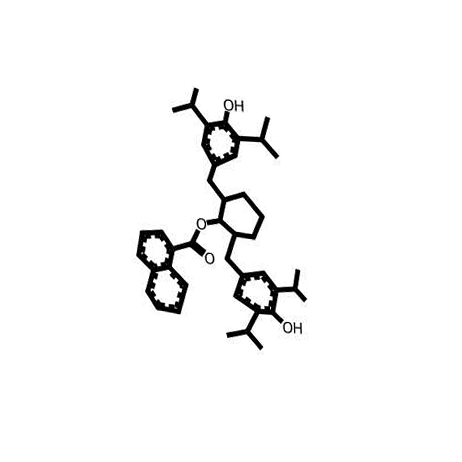 CC(C)c1cc(CC2CCCC(Cc3cc(C(C)C)c(O)c(C(C)C)c3)C2OC(=O)c2cccc3ccccc23)cc(C(C)C)c1O